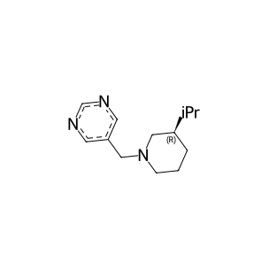 CC(C)[C@H]1CCCN(Cc2cncnc2)C1